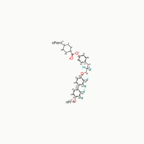 CCCCCC1CCC(C(=O)Oc2ccc(CC(F)(F)COc3ccc(-c4ccc(OCCC)c(F)c4F)c(F)c3F)cc2)CC1